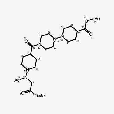 COC(=O)CN(C(C)=O)N1CCC(C(=O)N2CCN(N3CCC(C(=O)OC(C)(C)C)CC3)CC2)CC1